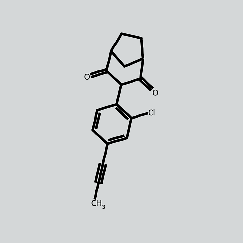 CC#Cc1ccc(C2C(=O)C3CCC(C3)C2=O)c(Cl)c1